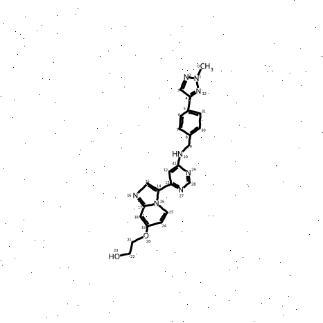 Cn1ncc(-c2ccc(CNc3cc(-c4cnc5cc(OCCO)ccn45)ncn3)cc2)n1